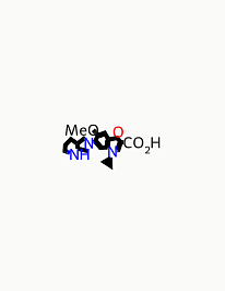 COc1cc2c(=O)c(C(=O)O)cn(C3CC3)c2cc1N1CC2CCCNC2C1